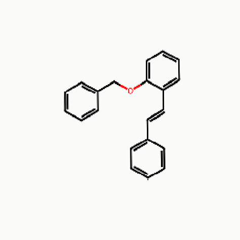 [c]1ccc(C=Cc2ccccc2OCc2ccccc2)cc1